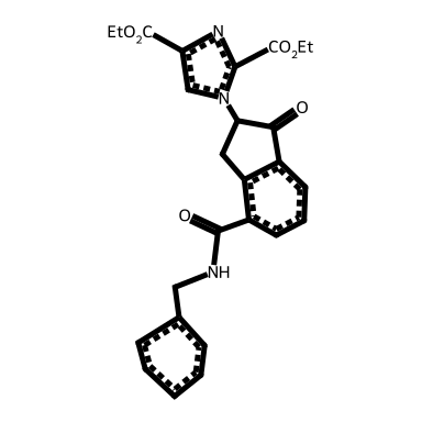 CCOC(=O)c1cn(C2Cc3c(C(=O)NCc4ccccc4)cccc3C2=O)c(C(=O)OCC)n1